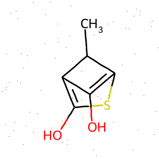 CC1c2sc(O)c1c2O